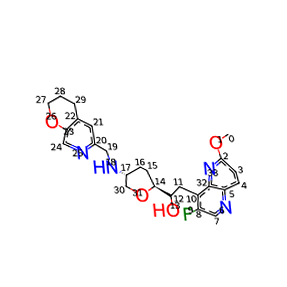 COc1ccc2ncc(F)c(CC(O)[C@@H]3CC[C@@H](NCc4cc5c(cn4)OCCC5)CO3)c2n1